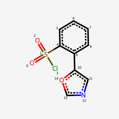 O=S(=O)(Cl)c1ccccc1-c1cnco1